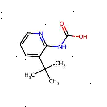 CC(C)(C)c1cccnc1NC(=O)O